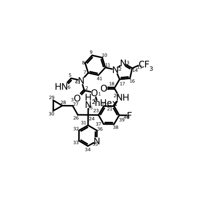 CCCCCCOC(=O)N(C=N)c1cccc(-n2nc(C(F)(F)F)cc2C(=O)Nc2cc(C(N)(CCC3CC3)c3cccnc3)ccc2F)c1